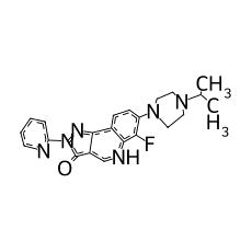 CC(C)N1CCN(c2ccc3c4nn(-c5ccccn5)c(=O)c-4c[nH]c3c2F)CC1